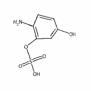 Nc1ccc(O)cc1OS(=O)(=O)O